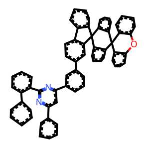 c1ccc(-c2cc(-c3cccc(-c4ccc5c(c4)C4(c6ccccc6-5)c5ccccc5C5(c6ccccc6Oc6ccccc65)c5ccccc54)c3)nc(-c3ccccc3-c3ccccc3)n2)cc1